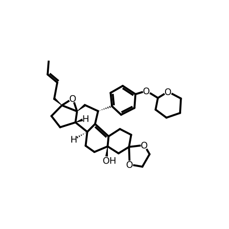 C/C=C/C[C@]12CC[C@H]3[C@@H]4CC[C@@]5(O)CC6(CCC5=C4[C@@H](c4ccc(OC5CCCCO5)cc4)C[C@@]31O2)OCCO6